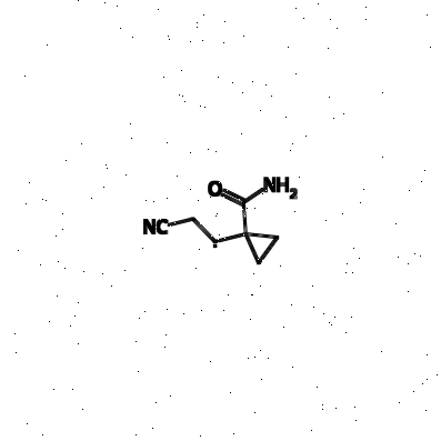 N#CC[CH]C1(C(N)=O)CC1